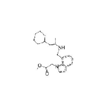 COC(=O)Cn1ccc2cccc(CNC(C)CC3CCCCC3)c21